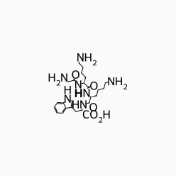 NCCCC[C@H](NC(=O)CN)C(=O)N[C@@H](CCCCN)C(=O)N[C@@H](Cc1c[nH]c2ccccc12)C(=O)O